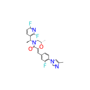 Cc1cn(-c2ccc(/C=C3\O[C@@H](C)CN([C@@H](C)c4ccc(F)nc4F)C3=O)cc2F)cn1